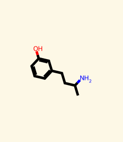 CC(N)CCc1cccc(O)c1